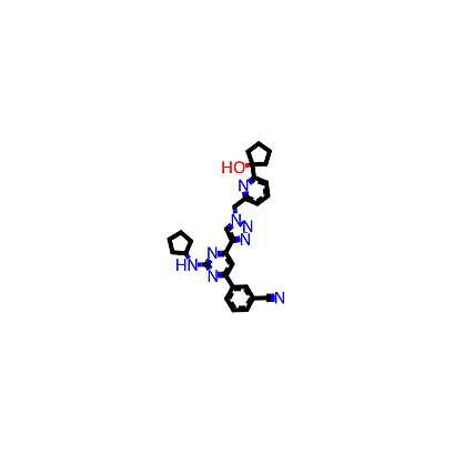 N#Cc1cccc(-c2cc(-c3cn(Cc4cccc(C5(O)CCCC5)n4)nn3)nc(NC3CCCC3)n2)c1